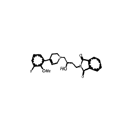 COc1c(F)cccc1C1=CCN(CC(O)CCN2C(=O)c3ccccc3C2=O)CC1